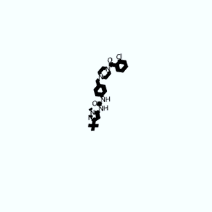 Cn1nc(C(C)(C)C)cc1NC(=O)Nc1ccc(CN2CCN(C(=O)c3ccccc3Cl)CC2)cc1